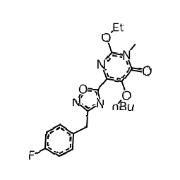 CCCCOc1c(-c2nc(Cc3ccc(F)cc3)no2)nc(OCC)n(C)c1=O